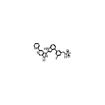 CS(=O)(=O)NCc1cc(F)cc(-c2cccc3[nH]c(-c4n[nH]c5cnc(-c6ccccn6)cc45)cc23)c1